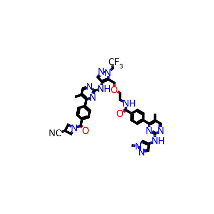 Cc1cnc(Nc2cnn(C)c2)nc1-c1ccc(C(=O)NCCOCc2c(Nc3ncc(C)c(-c4ccc(C(=O)N5CC(C#N)C5)cc4)n3)cnn2CC(F)(F)F)cc1